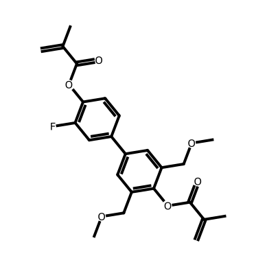 C=C(C)C(=O)Oc1ccc(-c2cc(COC)c(OC(=O)C(=C)C)c(COC)c2)cc1F